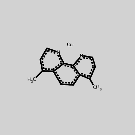 Cc1ccnc2c1ccc1c(C)ccnc12.[Cu]